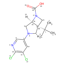 CC(C)(C)[C@]12CN(c3cnc(Cl)c(Cl)c3)C[C@H]1N(C(=O)O)C2